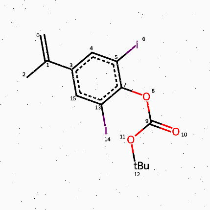 C=C(C)c1cc(I)c(OC(=O)OC(C)(C)C)c(I)c1